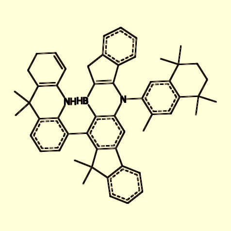 Cc1cc2c(cc1N1C3=C(Bc4c1cc1c(c4-c4cccc5c4NC4=C(CCC=C4)C5(C)C)C(C)(C)c4ccccc4-1)Cc1ccccc13)C(C)(C)CCC2(C)C